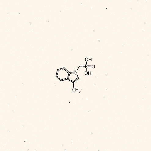 [CH2]c1cn(CP(=O)(O)O)c2ccccc12